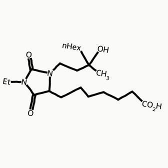 CCCCCCC(C)(O)CCN1C(=O)N(CC)C(=O)C1CCCCCCC(=O)O